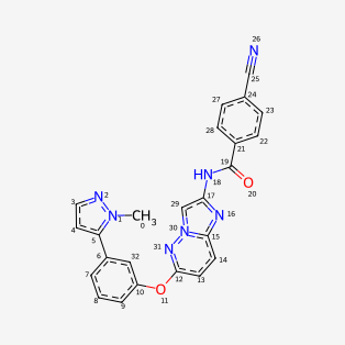 Cn1nccc1-c1cccc(Oc2ccc3nc(NC(=O)c4ccc(C#N)cc4)cn3n2)c1